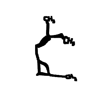 CC(C)=CC1CC1C